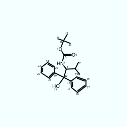 CC(C)C(NC(=O)OC(C)(C)C)C(O)(c1ccccc1)c1ccccc1